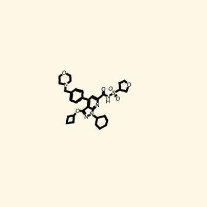 O=C(NS(=O)(=O)C1CCOC1)c1cc(-c2ccc(CN3CCOCC3)cc2)c2c(OC3CCC3)nn(C3CCCCC3)c2n1